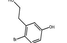 OCCc1cc(O)ccc1Br